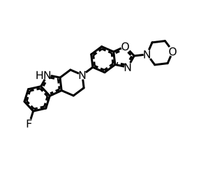 Fc1ccc2[nH]c3c(c2c1)CCN(c1ccc2oc(N4CCOCC4)nc2c1)C3